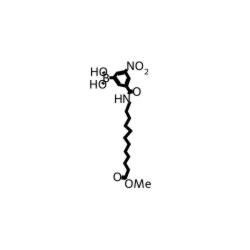 COC(=O)CCCCCCCCCCCNC(=O)c1cc(B(O)O)cc([N+](=O)[O-])c1